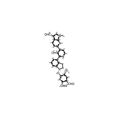 COc1nc(O[C@H]2CCc3c(-c4nccc(-c5ccc6c(C=O)cn(C)c6n5)c4Cl)cccc32)c(C(F)(F)F)cc1C=O